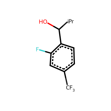 CC(C)C(O)c1ccc(C(F)(F)F)cc1F